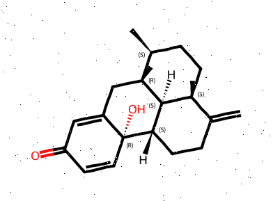 C=C1CC[C@H]2[C@H]3[C@](C)(CC4=CC(=O)C=C[C@@]42O)[C@@H](C)CC[C@]13C